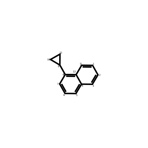 [c]1cccc2cccc(C3CC3)c12